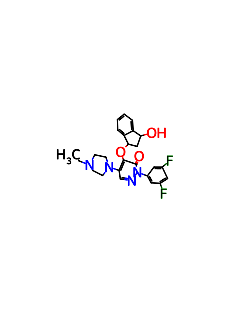 CCN1CCN(c2cnn(-c3cc(F)cc(F)c3)c(=O)c2OC2CC(O)c3ccccc32)CC1